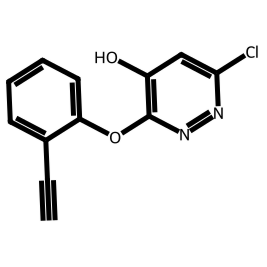 C#Cc1ccccc1Oc1nnc(Cl)cc1O